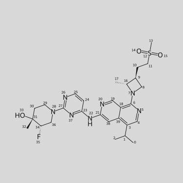 CC(C)c1cnc(N2C[C@H](CCS(C)(=O)=O)[C@H]2C)c2cnc(Nc3ccnc(N4CC[C@@](C)(O)[C@@H](F)C4)n3)cc12